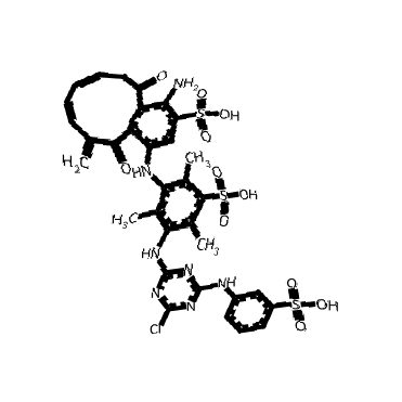 C=C1/C=C\C=C/CC(=O)c2c(N)c(S(=O)(=O)O)cc(Nc3c(C)c(Nc4nc(Cl)nc(Nc5cccc(S(=O)(=O)O)c5)n4)c(C)c(S(=O)(=O)O)c3C)c2C1=O